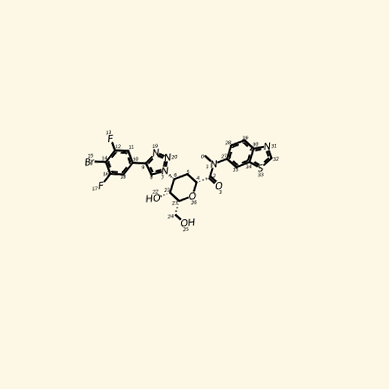 CN(C(=O)[C@H]1C[C@@H](n2cc(-c3cc(F)c(Br)c(F)c3)nn2)[C@@H](O)[C@@H](CO)O1)c1ccc2ncsc2c1